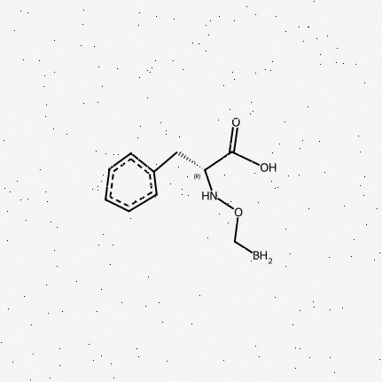 BCON[C@H](Cc1ccccc1)C(=O)O